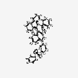 O=S(=O)(c1ccccc1)c1cccc(-c2cc3nc(-c4ccccc4)c4c5ccccc5c5ccccc5c4c3c3ccccc23)n1